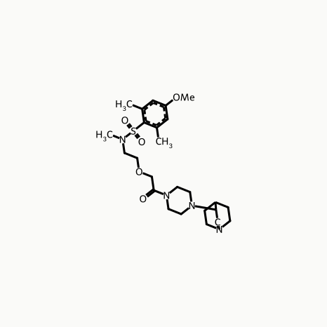 COc1cc(C)c(S(=O)(=O)N(C)CCOCC(=O)N2CCN(C3CN4CCC3CC4)CC2)c(C)c1